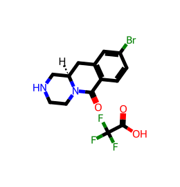 O=C(O)C(F)(F)F.O=C1c2ccc(Br)cc2C[C@@H]2CNCCN12